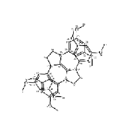 COc1cc(OC)cc(N2CCN(c3cc(OC)cc(OC)c3)C2=C2N(c3cc(OC)cc(OC)c3)CCN2c2cc(OC)cc(OC)c2)c1